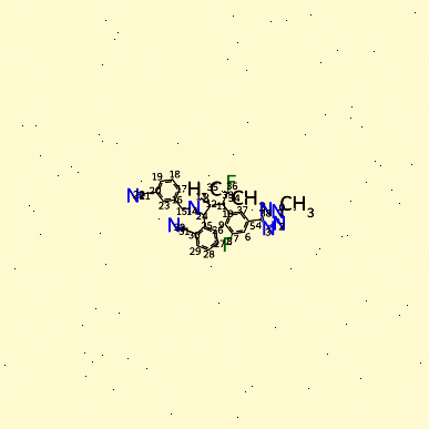 Cn1nnc(-c2cc(F)cc(C(C3CN(Cc4cccc(C#N)c4)C3c3ccccc3C#N)C(C)(C)F)c2)n1